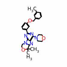 Cc1cccc(COc2cccc(-c3nc(N4CCOCC4)c4nc5n(c4n3)CCOC5(C)C)c2)c1